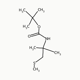 CSCC(C)(C)NC(=O)OC(C)(C)C